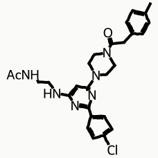 CC(=O)NCCNc1cc(N2CCN(C(=O)Cc3ccc(C)cc3)CC2)nc(-c2ccc(Cl)cc2)n1